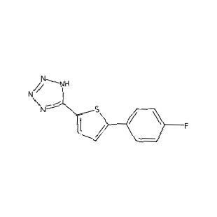 Fc1ccc(-c2ccc(-c3nnn[nH]3)s2)cc1